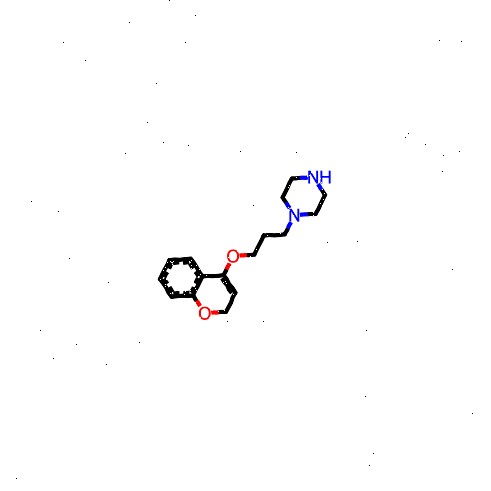 C1=C(OCCCN2CCNCC2)c2ccccc2OC1